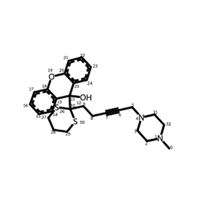 CN1CCN(CC#CCCC2(C3(O)c4ccccc4Oc4ccccc43)SCCCS2)CC1